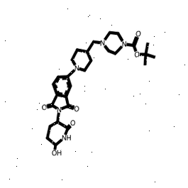 CC(C)(C)OC(=O)N1CCN(CC2CCN(c3ccc4c(c3)C(=O)N(C3CCC(O)NC3=O)C4=O)CC2)CC1